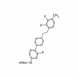 CCCCCCOc1ccc(-c2ccc(CCc3ccc(C)c(F)c3F)cc2)c(F)c1